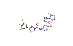 COc1ncc(NC(=O)c2csc(-c3cc(F)c(F)c(F)c3)n2)cc1S(=O)(=O)Nc1c(C)cccc1C